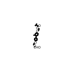 C=C(C)C(=O)O/C=C\Oc1ccc(-c2ccc(O/C=C\OC=O)cc2)c(C)c1